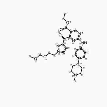 CCOC(=O)c1cnc(Nc2ccc(N3CCN(C)CC3)cc2)nc1C(=O)c1ccn(CCOCOC)n1